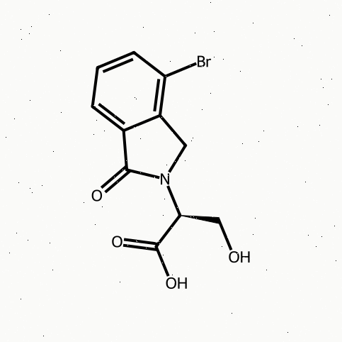 O=C(O)[C@H](CO)N1Cc2c(Br)cccc2C1=O